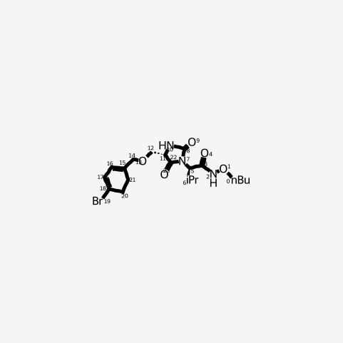 CCCCONC(=O)[C@@H](C(C)C)N1C(=O)N[C@@H](COCC2=CC=C(Br)CC2)C1=O